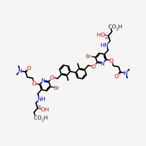 Cc1c(COc2nc(OCCC(=O)N(C)C)c(CNC[C@@H](O)CC(=O)O)cc2Br)cccc1-c1cccc(COc2nc(OCCC(=O)N(C)C)c(CNC[C@@H](O)CC(=O)O)cc2Br)c1C